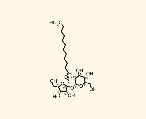 O=C(O)CCCCCCCCCCCOC[C@@]1(O[C@H]2O[C@H](CO)[C@@H](O)[C@H](O)[C@H]2O)O[C@H](CO)[C@@H](O)[C@@H]1O